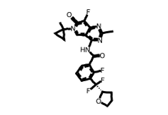 Cc1nc(NC(=O)c2cccc(C(F)(F)[C@@H]3CCCO3)c2F)c2cn(C3(C)CC3)c(=O)c(F)c2n1